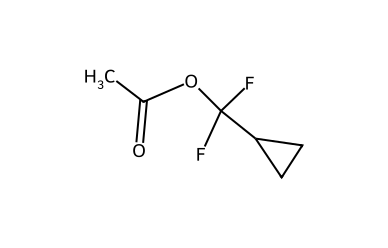 CC(=O)OC(F)(F)C1CC1